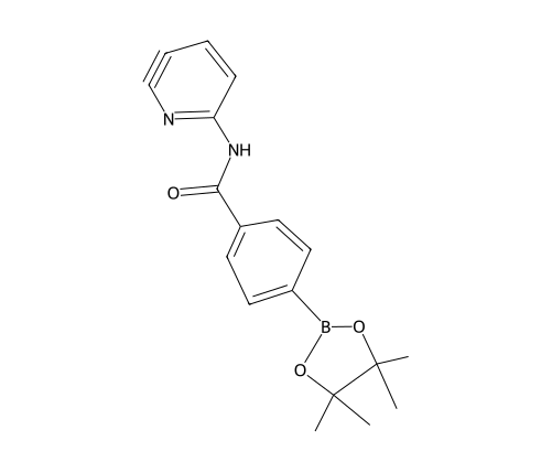 CC1(C)OB(c2ccc(C(=O)Nc3ccc#cn3)cc2)OC1(C)C